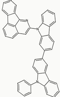 c1ccc(-n2c3ccccc3c3cc(-c4ccc5c6ccccc6n(-c6cc7cccc8c7c(n6)-c6cnccc6-8)c5c4)ccc32)cc1